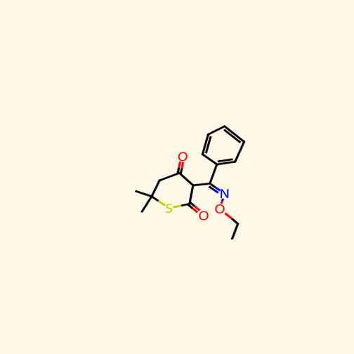 CCON=C(c1ccccc1)C1C(=O)CC(C)(C)SC1=O